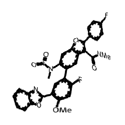 CNC(=O)c1c(-c2ccc(F)cc2)oc2cc(N(C)I(=O)=O)c(-c3cc(-c4nc5ccccc5o4)c(OC)cc3F)cc12